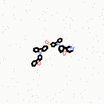 [O-][S+](c1ccc2c(c1)c1ccccc1n2-c1ccc2oc3ccccc3c2c1)c1ccc2c(c1)c1ccccc1n2-c1ccc2oc3ccncc3c2c1